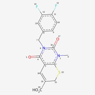 Cn1c2c(c(=O)n(Cc3ccc(F)c(F)c3)c1=O)C=C(C(=O)O)CS2